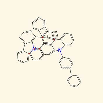 c1ccc(-c2ccc(N(c3ccc4c(c3)C3(c5ccccc5-c5ccccc53)c3cccc5c6ccccc6n-4c35)c3ccccc3-c3cccc(-c4ccccc4)c3)cc2)cc1